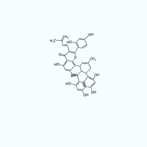 C=C(C)C=Cc1c(-c2ccc(O)cc2O)oc2c(C3C=C(C)CC(c4ccc(O)cc4O)C3C(=O)c3ccc(O)cc3O)c(O)cc(O)c2c1=O